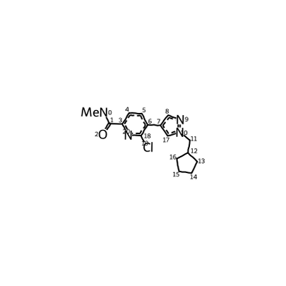 CNC(=O)c1ccc(-c2cnn(CC3CCCC3)c2)c(Cl)n1